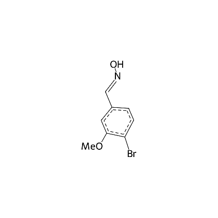 COc1cc(C=NO)ccc1Br